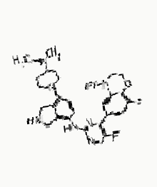 CC(C)N1CCOc2c(F)cc(-c3nc(Nc4ccc(N5CCC(N(C)C)CC5)c5c4CNC5)ncc3F)cc21